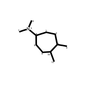 CC1CCC(N(C)C)CCC1C